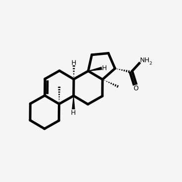 C[C@]12CC[C@H]3[C@@H](CC=C4CCCC[C@@]43C)[C@@H]1CC[C@@H]2C(N)=O